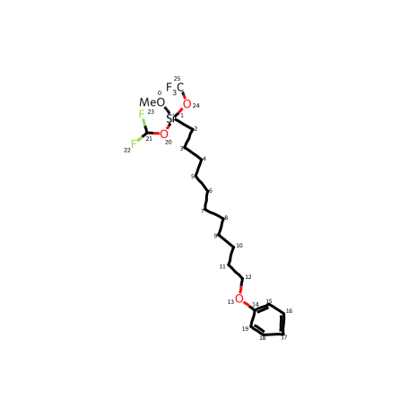 CO[Si](CCCCCCCCCCCOc1ccccc1)(OC(F)F)OC(F)(F)F